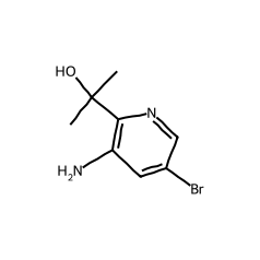 CC(C)(O)c1ncc(Br)cc1N